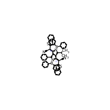 CC(C)c1c2/c(=C(\C#N)c3nc4ccccc4s3)n(B(c3ccccc3)c3ccccc3)c(-c3ccccc3)c2/c(=C(\C#N)c2nc3ccccc3s2)n1B(c1ccccc1)c1ccccc1